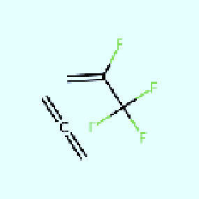 C=C(F)C(F)(F)F.C=C=C